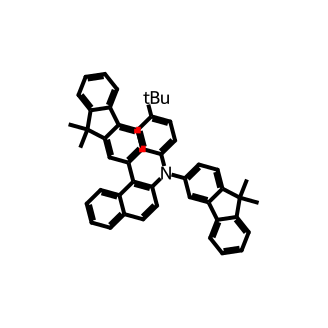 CC(C)(C)c1ccc(N(c2ccc3c(c2)-c2ccccc2C3(C)C)c2ccc3ccccc3c2-c2ccc3c(c2)C(C)(C)c2ccccc2-3)cc1